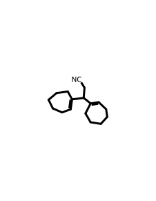 N#CCC(C1=CCCCCC1)C1=CCCCCC1